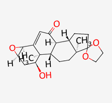 C[C@]12C(=CC(=O)[C@@H]3[C@@H]1CC[C@@]1(C)[C@H]3CCC13OCCO3)[C@@H]1O[C@@H]1C[C@@H]2O